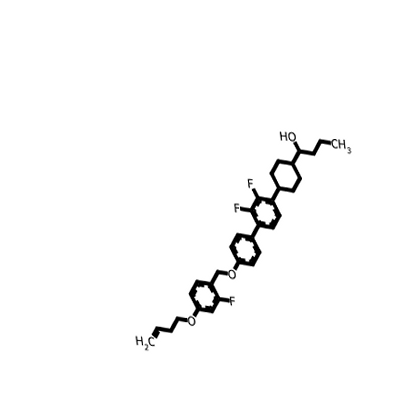 C=CCCOc1ccc(COc2ccc(-c3ccc(C4CCC(C(O)CCC)CC4)c(F)c3F)cc2)c(F)c1